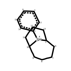 c1ccc([SH]2C3CCCCC2CCC3)cc1